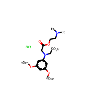 CCCCCCCCCCOc1cc(OCCCCCCCCCC)cc(N(CC(=O)O)CC(=O)OCCN(CC)CC)c1.Cl